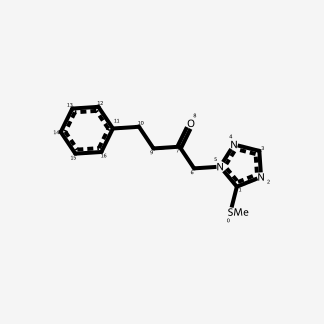 CSc1ncnn1CC(=O)CCc1ccccc1